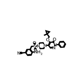 CC1(COc2c(N3CCN(S(=O)(=O)Cc4cc(C#N)ccc4N)CC3)cnn(-c3ccccc3)c2=O)CC1